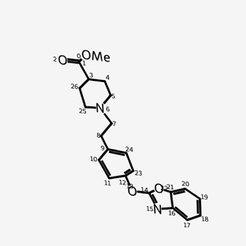 COC(=O)C1CCN(CCc2ccc(Oc3nc4ccccc4o3)cc2)CC1